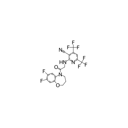 N#Cc1c(C(F)(F)F)cc(C(F)(F)F)nc1NCC(=O)N1CCCOc2cc(F)c(F)cc21